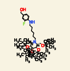 CC(C)(C)[Si](C)(C)OC[C@@H]1C(O[Si](C)(C)C(C)(C)C)C(O[Si](C)(C)C(C)(C)C)C(O[Si](C)(C)C(C)(C)C)CN1CCCCCCNc1ccc(CO)cc1F